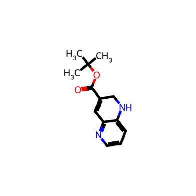 CC(C)(C)OC(=O)C1=Cc2ncccc2NC1